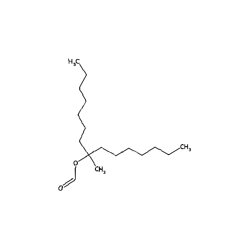 CCCCCCCC(C)(CCCCCCC)OC=O